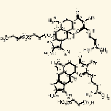 CCCN(C(=O)NCCN(C)C)C(=O)[C@@H]1C[C@@H]2Cc3c(sc(N)c3C#N)C[C@H]2N(C)C1.CCCN(C(=O)NCCN(C)C)C(=O)[C@@H]1C[C@@H]2Cc3c(sc(N)c3C#N)C[C@H]2N(C)C1.O=C(O)CCC(=O)O.O=C(O)CCC(=O)O.O=C(O)CCC(=O)O